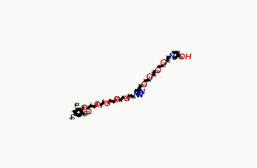 O=C(CCOCCOCCOCCOCCn1cc(COCCOCCOCCOCCN2CC[C@@H](O)C2)nn1)Oc1c(F)cc(F)cc1F